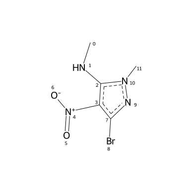 CNc1c([N+](=O)[O-])c(Br)nn1C